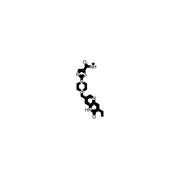 CCc1cc2ncc(CN3CCN(c4ncc(C(=O)NC)s4)CC3)cc2[nH]c1=O